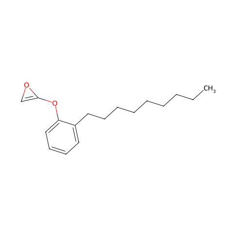 CCCCCCCCCc1ccccc1OC1=CO1